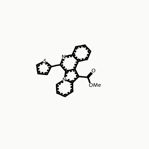 COC(=O)c1c2c3ccccc3nc(-c3cccs3)c2n2ccccc12